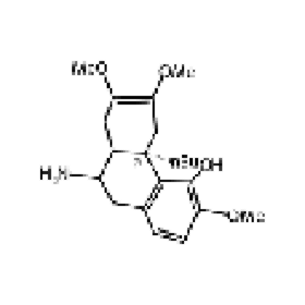 CCCC[C@@]12CC(OC)=C(OC)CC1C(N)Cc1ccc(OC)c(O)c12